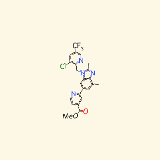 COC(=O)c1ccnc(-c2cc(C)c3nc(C)n(Cc4ncc(C(F)(F)F)cc4Cl)c3c2)c1